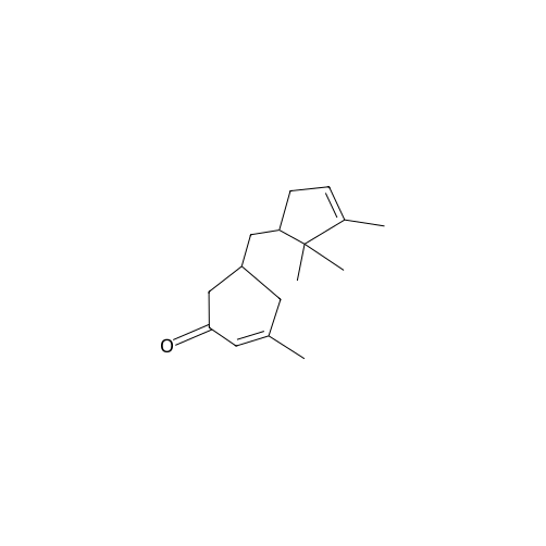 CC1=CC(=O)CC(CC2CC=C(C)C2(C)C)C1